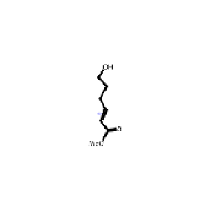 COC(=O)/C=C/CCCO